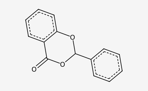 O=C1OC(c2ccccc2)Oc2ccccc21